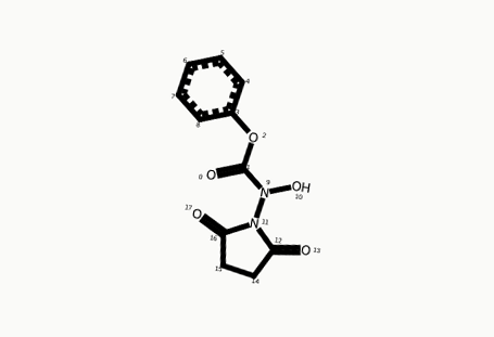 O=C(Oc1ccccc1)N(O)N1C(=O)CCC1=O